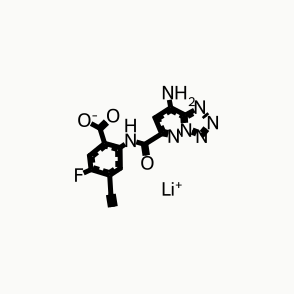 C#Cc1cc(NC(=O)c2cc(N)c3nnnn3n2)c(C(=O)[O-])cc1F.[Li+]